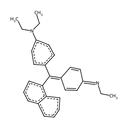 CCN=C1C=CC(=C(c2ccc(N(CC)CC)cc2)c2cccc3ccccc23)C=C1